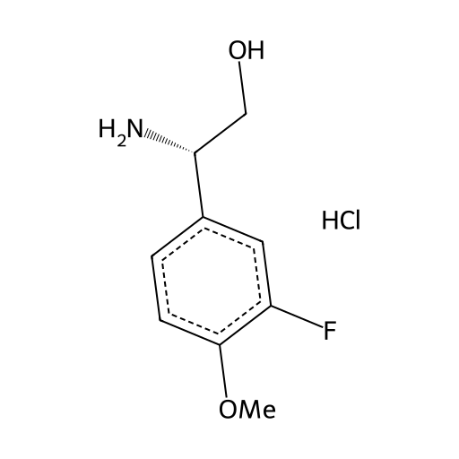 COc1ccc([C@H](N)CO)cc1F.Cl